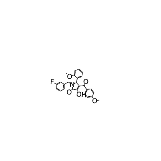 COc1ccc(C(=O)C2=C(O)C(=O)N(Cc3cccc(F)c3)C2c2ccccc2OC)cc1